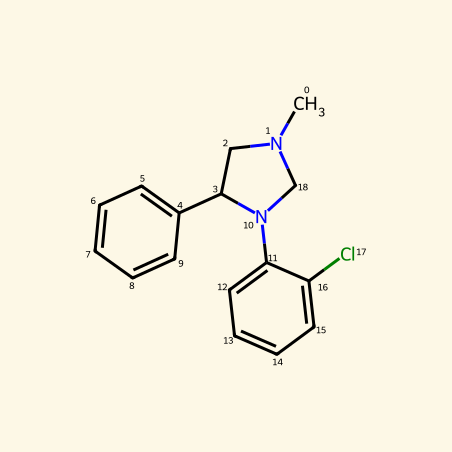 CN1CC(c2ccccc2)N(c2ccccc2Cl)C1